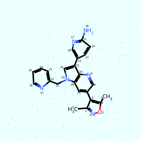 Cc1noc(C)c1-c1cnc2c(-c3ccc(N)nc3)cn(Cc3ccccn3)c2c1